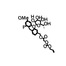 C=CCOC(=O)OCC(=O)OCc1ccc(Cc2ccc(OC)cc2F)c(O[C@@H]2O[C@H]([C@@H](C)O)[C@@H](O)[C@H](O)[C@H]2O)c1